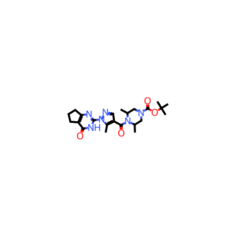 Cc1c(C(=O)N2C(C)CN(C(=O)OC(C)(C)C)CC2C)cnn1-c1nc2c(c(=O)[nH]1)CCC2